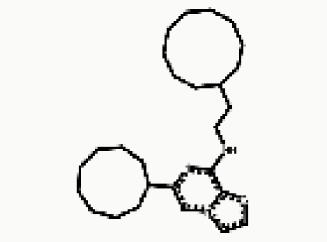 c1cn2cc(C3CCCCCCCC3)nc(NCCC3CCCCCCCCC3)c2n1